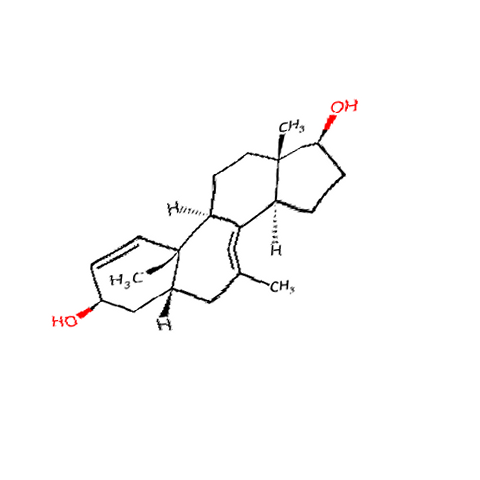 CC1=C2[C@H](CC[C@]3(C)[C@@H](O)CC[C@@H]23)[C@@]2(C)C=C[C@H](O)C[C@H]2C1